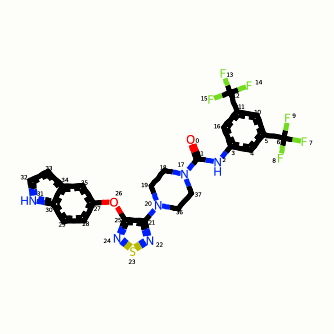 O=C(Nc1cc(C(F)(F)F)cc(C(F)(F)F)c1)N1CCN(c2nsnc2Oc2ccc3[nH]ccc3c2)CC1